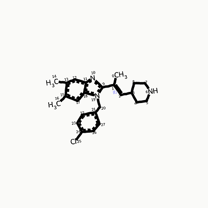 C/C(=C\C1CCNCC1)c1nc2cc(C)c(C)cc2n1Cc1ccc(Cl)cc1